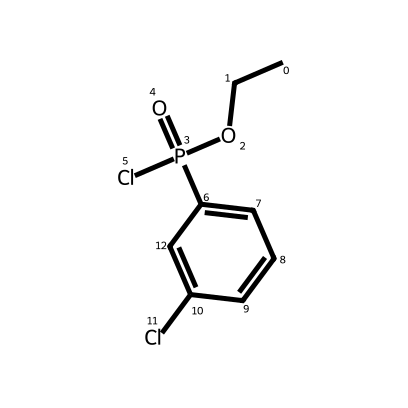 CCOP(=O)(Cl)c1cccc(Cl)c1